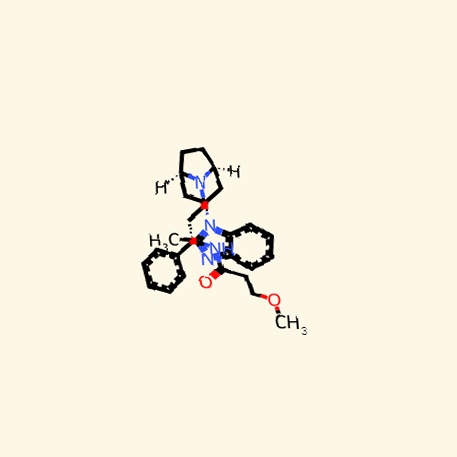 COCCC(=O)N[C@@H](CCN1[C@@H]2CC[C@H]1C[C@H](n1c(C)nc3ccccc31)C2)c1ccccc1